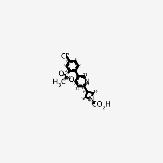 CS(=O)(=O)c1cc(Cl)ccc1-c1ccc(C2CN(C(=O)O)C2)nc1